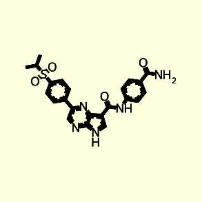 CC(C)S(=O)(=O)c1ccc(-c2cnc3[nH]cc(C(=O)Nc4ccc(C(N)=O)cc4)c3n2)cc1